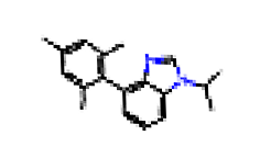 Cc1cc(C)c(-c2cccc3c2ncn3C(C)C)c(C)c1